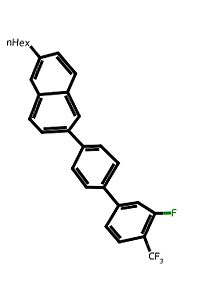 CCCCCCc1ccc2cc(-c3ccc(-c4ccc(C(F)(F)F)c(F)c4)cc3)ccc2c1